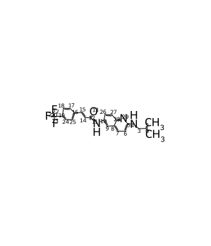 CC(C)CNc1ccc2cc(NC(=O)C=Cc3ccc(C(F)(F)F)cc3)ccc2n1